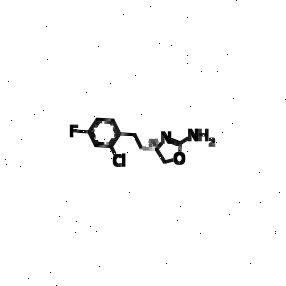 NC1=N[C@@H](CCc2ccc(F)cc2Cl)CO1